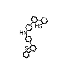 SC1=C(c2cccc(C3=CCC(Nc4ccc(-c5cccc6c5sc5ccccc56)cc4)C=C3)c2)CCC=C1